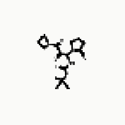 CC(C)(C)OC(=O)NC(C(=O)C(=O)N1CCC1)N1CCCC1=O